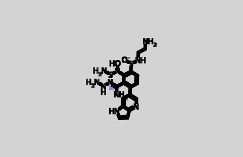 NCCN[S+]([O-])c1ccc(-c2cnc3cc[nH]c3c2)c(/C(N)=N/NN)c1N(O)SN